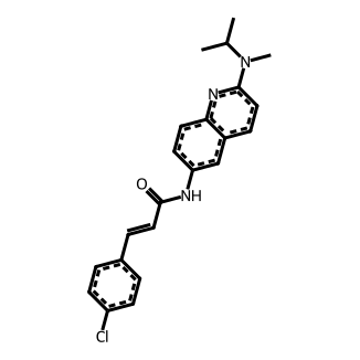 CC(C)N(C)c1ccc2cc(NC(=O)/C=C/c3ccc(Cl)cc3)ccc2n1